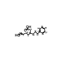 O=C(O)CC(CCC=NO)CCCc1ccccc1